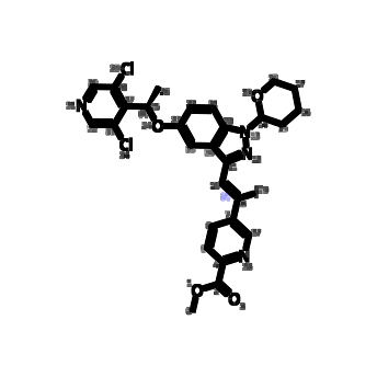 COC(=O)c1ccc(/C(F)=C/c2nn(C3CCCCO3)c3ccc(O[C@H](C)c4c(Cl)cncc4Cl)cc23)cn1